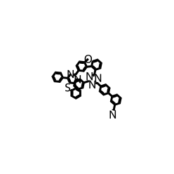 N#Cc1cccc(-c2ccc(-c3nc(-c4ccccc4)nc(-c4cccc5oc6ccc(-c7nc(-c8ccccc8)c8sc9ccccc9c8n7)cc6c45)n3)cc2)c1